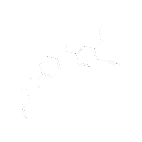 C=CCNS(=O)(=O)c1ccc(Nc2ncc(C#N)c(NCC)n2)cc1